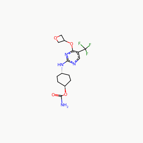 NC(=O)O[C@H]1CC[C@H](Nc2ncc(C(F)(F)F)c(OC3COC3)n2)CC1